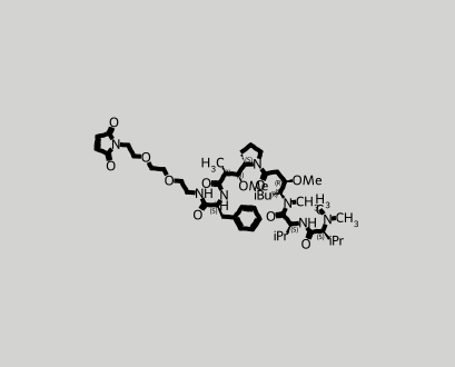 CC[C@@H](C)[C@@H]([C@@H](CC(=O)N1CCC[C@H]1[C@H](OC)[C@@H](C)C(=O)N[C@@H](Cc1ccccc1)C(=O)NCCOCCOCCN1C(=O)C=CC1=O)OC)N(C)C(=O)[C@@H](NC(=O)[C@H](C(C)C)N(C)C)C(C)C